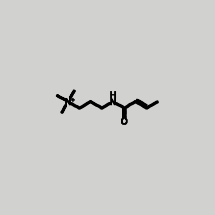 CC=CC(=O)NCCC[N+](C)(C)C